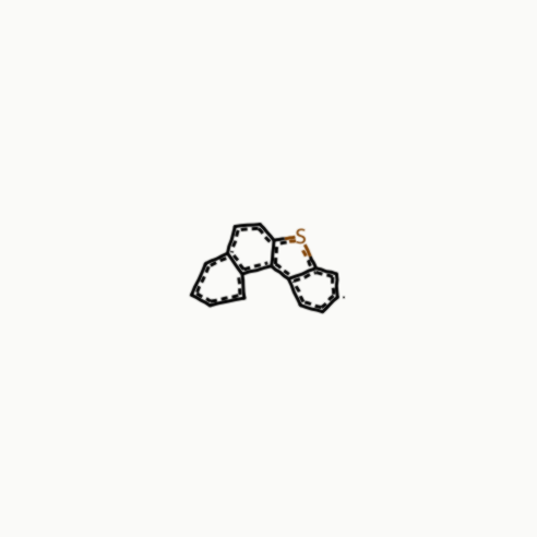 [c]1ccc2c(c1)sc1ccc3ccccc3c12